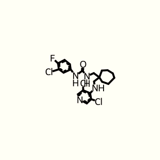 O=C(NCC1(CNc2c(Cl)cncc2Cl)CCCCCC1)Nc1ccc(F)c(Cl)c1